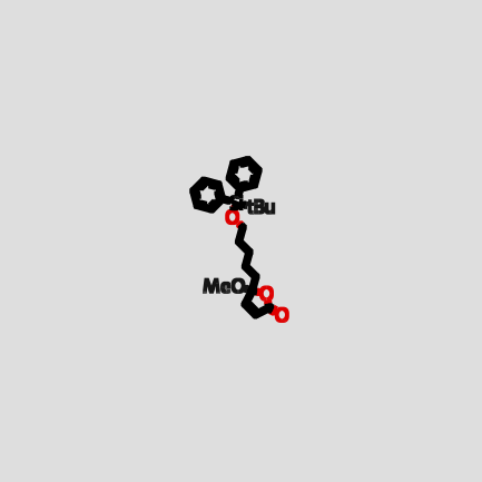 COC1(CCCCCO[Si](c2ccccc2)(c2ccccc2)C(C)(C)C)C=CC(=O)O1